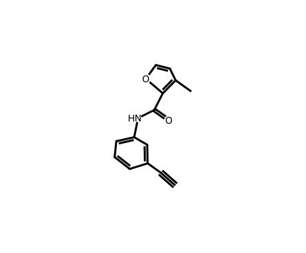 C#Cc1cccc(NC(=O)c2occc2C)c1